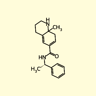 C[C@H](NC(=O)C1=CCC2(C)NCCCC2=C1)c1ccccc1